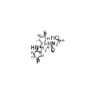 C[C@H](O)CNC(=O)CCc1c(-c2ccc(F)cc2)[nH]c2ccc(F)cc12